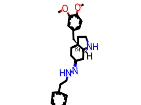 COc1ccc(C[C@@]23CCN[C@H]2CC(=NNCCc2ccccc2)CC3)cc1OC